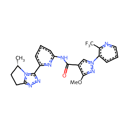 COc1nn(-c2cccnc2C(F)(F)F)cc1C(=O)Nc1cccc(-c2nnc3n2[C@@H](C)CC3)n1